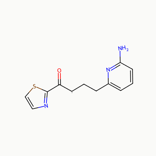 Nc1cccc(CC[CH]C(=O)c2nccs2)n1